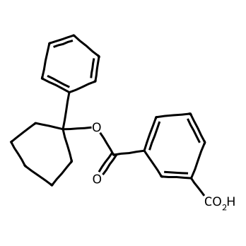 O=C(O)c1cccc(C(=O)OC2(c3ccccc3)CCCCC2)c1